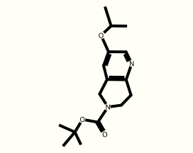 CC(C)Oc1cnc2c(c1)CN(C(=O)OC(C)(C)C)CC2